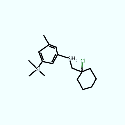 Cc1cc([SiH2]CC2(Cl)CCCCC2)cc([Si](C)(C)C)c1